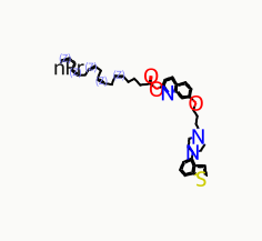 CCC/C=C\C/C=C\C/C=C\C/C=C\C/C=C\CCCC(=O)Oc1ccc2ccc(OCCCCN3CCN(c4cccc5sccc45)CC3)cc2n1